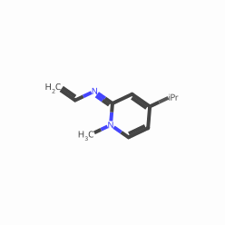 C=C/N=c1/cc(C(C)C)ccn1C